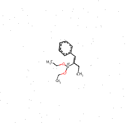 CCO[SiH](OCC)C(=Cc1ccccc1)CC